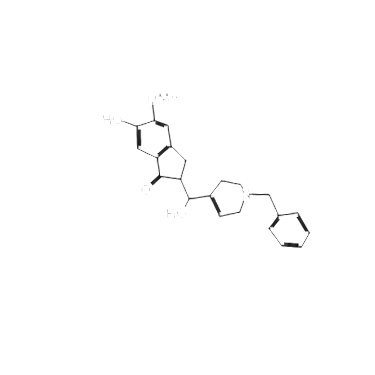 COc1cc2c(cc1O)C(=O)C(C(O)C1=CCN(Cc3ccccc3)CC1)C2